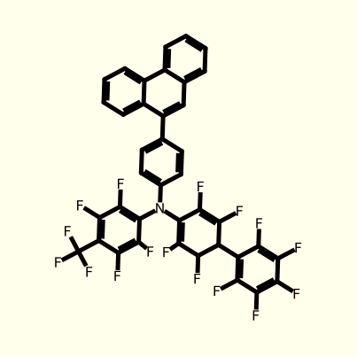 FC1=C(F)C(c2c(F)c(F)c(F)c(F)c2F)C(F)C(F)=C1N(c1ccc(-c2cc3ccccc3c3ccccc23)cc1)c1c(F)c(F)c(C(F)(F)F)c(F)c1F